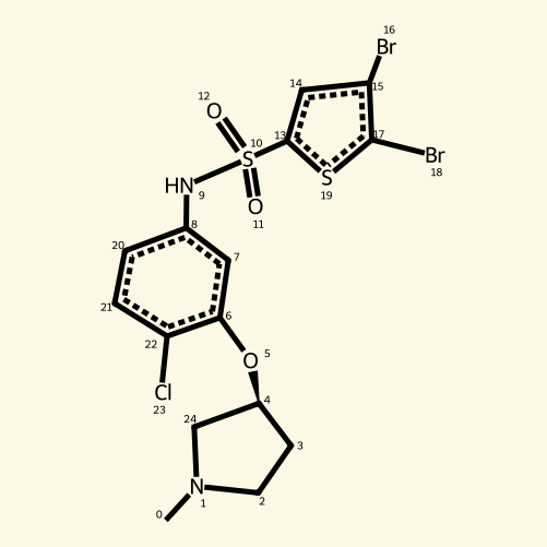 CN1CC[C@H](Oc2cc(NS(=O)(=O)c3cc(Br)c(Br)s3)ccc2Cl)C1